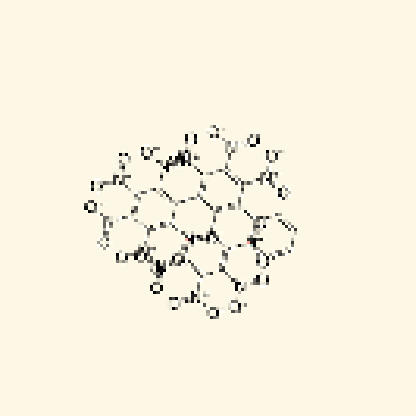 O=[N+]([O-])c1cc(-c2c(-c3ccccc3)c([N+](=O)[O-])c([N+](=O)[O-])c([N+](=O)[O-])c2-c2c([N+](=O)[O-])c([N+](=O)[O-])c([N+](=O)[O-])c([N+](=O)[O-])c2[N+](=O)[O-])c([N+](=O)[O-])c([N+](=O)[O-])c1[N+](=O)[O-]